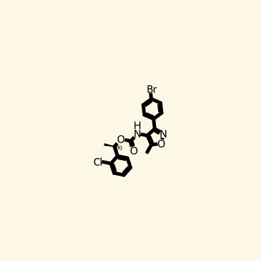 Cc1onc(-c2ccc(Br)cc2)c1NC(=O)O[C@H](C)c1ccccc1Cl